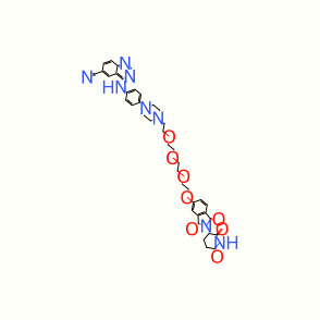 N#Cc1ccc2ncnc(Nc3ccc(N4CCN(CCOCCOCCOCCOc5ccc6c(c5)C(=O)N(C5CCC(=O)NC5=O)C6=O)CC4)cc3)c2c1